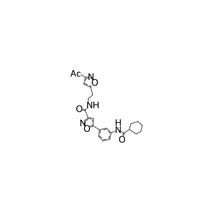 CC(=O)c1cc(CCNC(=O)c2cc(-c3cccc(NC(=O)C4CCCCC4)c3)on2)on1